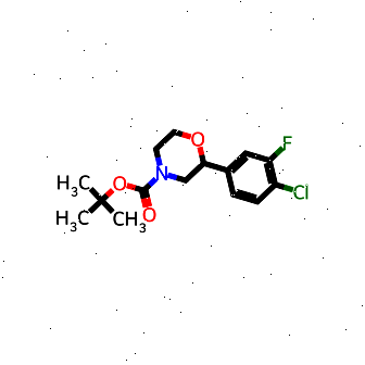 CC(C)(C)OC(=O)N1CCOC(c2ccc(Cl)c(F)c2)C1